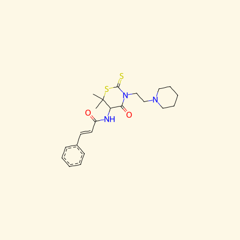 CC1(C)SC(=S)N(CCN2CCCCC2)C(=O)C1NC(=O)/C=C/c1ccccc1